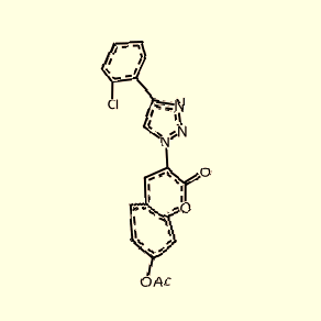 CC(=O)Oc1ccc2cc(-n3cc(-c4ccccc4Cl)nn3)c(=O)oc2c1